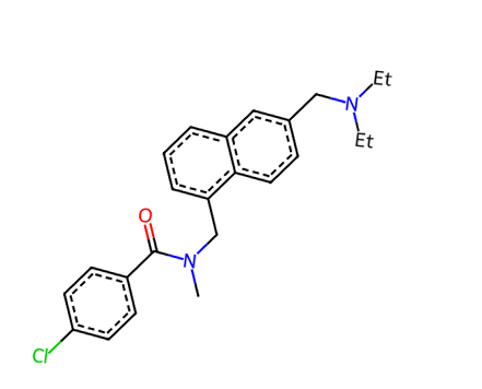 CCN(CC)Cc1ccc2c(CN(C)C(=O)c3ccc(Cl)cc3)cccc2c1